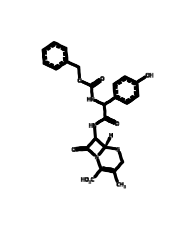 CC1=C(C(=O)O)N2C(=O)C(NC(=O)C(NC(=O)OCc3ccccc3)c3ccc(O)cc3)[C@@H]2SC1